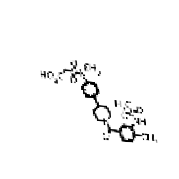 Cc1ccc(C(=O)N2CCC(c3ccc(N(C)S(=O)(=O)CC(=O)O)cc3)CC2)cc1NS(C)(=O)=O